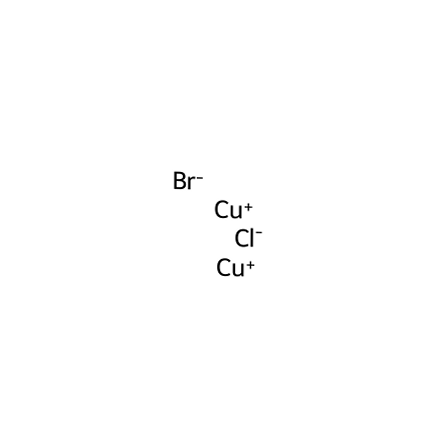 [Br-].[Cl-].[Cu+].[Cu+]